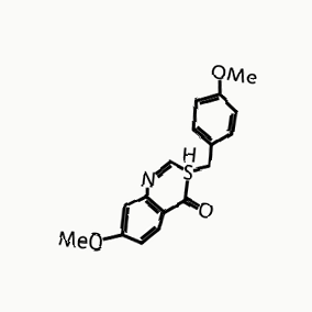 COc1ccc(C[SH]2C=Nc3cc(OC)ccc3C2=O)cc1